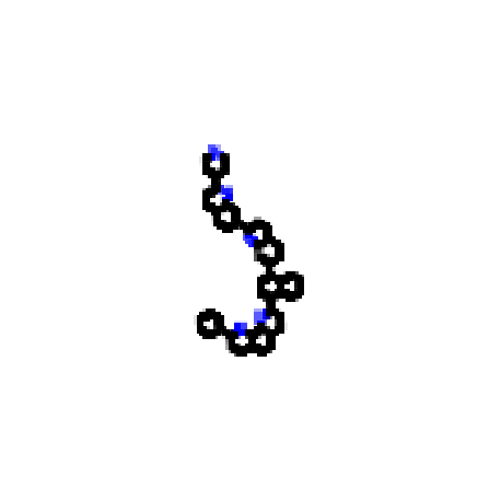 c1ccc(-c2ccc3ccc4ccc(-c5ccc(-c6ccc7ccc(-c8ccc9ccc(-c%10ccncc%10)nc9c8)nc7c6)c6ccccc56)nc4c3n2)cc1